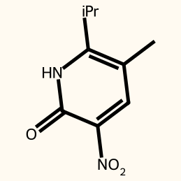 Cc1cc([N+](=O)[O-])c(=O)[nH]c1C(C)C